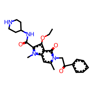 CCOc1c(C(=O)NC2CCNCC2)n(C)c2cc(C)n(CC(=O)c3ccccc3)c(=O)c12